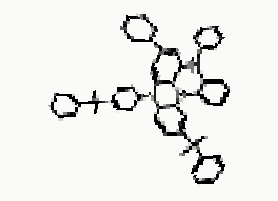 CC(C)(C1=CCCC=C1)C1=CCC(N2C3=CC(C4CCCCC4)=CC4C3B(C3=CC=CCC3N4c3ccccc3)C3C=C(C(C)(C)c4ccccc4)C=CC32)C=C1